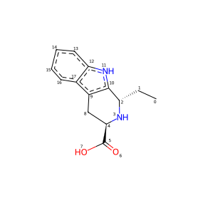 CC[C@@H]1N[C@@H](C(=O)O)Cc2c1[nH]c1ccccc21